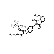 CCOC(=O)[C@H](Cc1ccc(N2C(=O)c3cccc(C)c3C2=O)cc1)NOC(C)(C)C